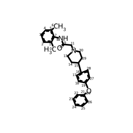 Cc1cccc(C)c1NC(=O)CN1CCC(c2ccc(Oc3ccccc3)cc2)CC1